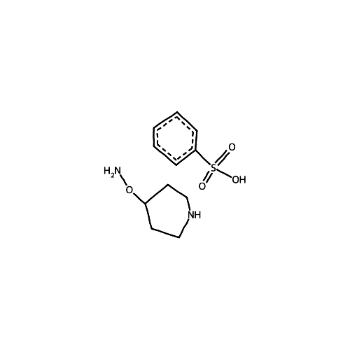 NOC1CCNCC1.O=S(=O)(O)c1ccccc1